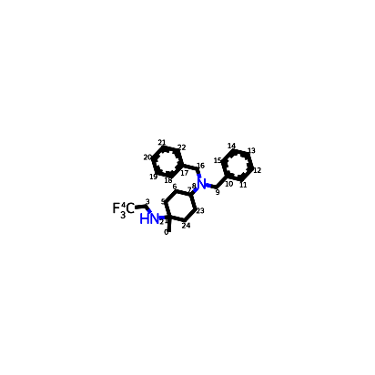 CC1(NCC(F)(F)F)CCC(N(Cc2ccccc2)Cc2ccccc2)CC1